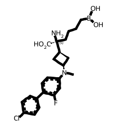 CN(c1ccc(-c2ccc(Cl)cc2)c(F)c1)[C@H]1C[C@H]([C@@](N)(CCCCB(O)O)C(=O)O)C1